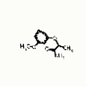 COc1cccc(OC(C)C(N)=O)c1